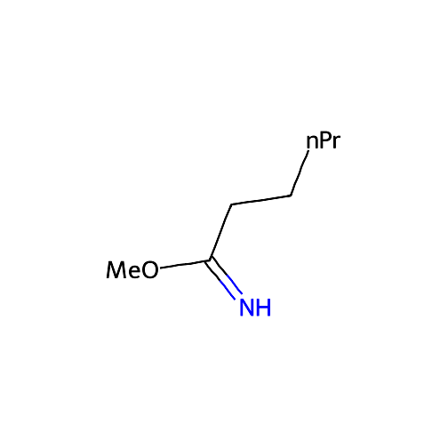 CCCCCC(=N)OC